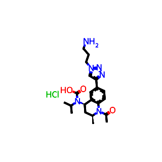 CC(=O)N1c2ccc(-c3cn(CCCN)nn3)cc2[C@H](N(C(=O)O)C(C)C)C[C@@H]1C.Cl